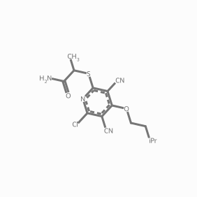 CC(C)CCOc1c(C#N)c(Cl)nc(SC(C)C(N)=O)c1C#N